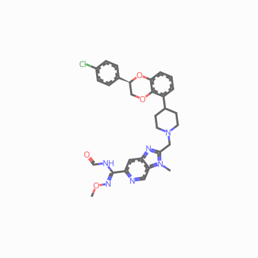 CO/N=C(\NC=O)c1cc2nc(CN3CCC(c4cccc5c4OC[C@@H](c4ccc(Cl)cc4)O5)CC3)n(C)c2cn1